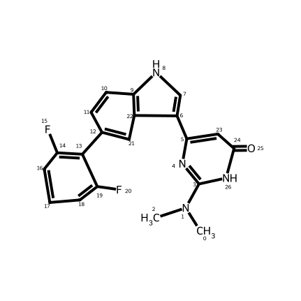 CN(C)c1nc(-c2c[nH]c3ccc(-c4c(F)cccc4F)cc23)cc(=O)[nH]1